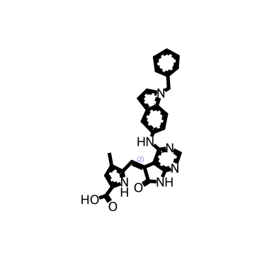 Cc1cc(C(=O)O)[nH]c1/C=C1\C(=O)Nc2ncnc(Nc3ccc4c(ccn4Cc4ccccc4)c3)c21